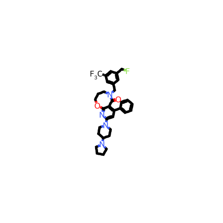 O=C1c2c(-c3ccccc3)cc(N3CCC(N4CCCC4)CC3)nc2OCCCN1Cc1cc(CF)cc(C(F)(F)F)c1